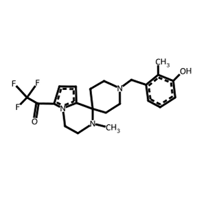 Cc1c(O)cccc1CN1CCC2(CC1)c1ccc(C(=O)C(F)(F)F)n1CCN2C